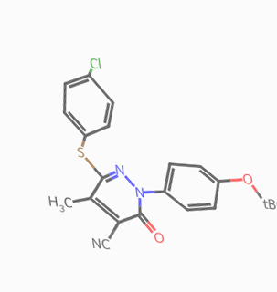 Cc1c(Sc2ccc(Cl)cc2)nn(-c2ccc(OC(C)(C)C)cc2)c(=O)c1C#N